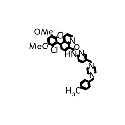 COc1cc(OC)c(Cl)c(-c2ccc(C(=O)Nc3ccc(CN4CCN(Cc5ccc(C)cc5)CC4)cn3)c3ncccc23)c1Cl